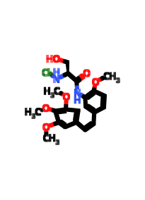 COc1ccc(/C=C\c2cc(OC)c(OC)c(OC)c2)cc1NC(=O)[C@H](CO)NCl